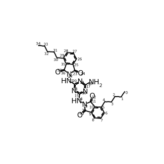 CCCCCc1cccc2c1C(=O)N(Nc1nc(N)nc(NN3C(=O)c4cccc(CCCCC)c4C3=O)n1)C2=O